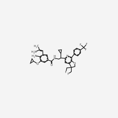 C/C(N)=C/c1cc(C(=O)NCC(c2cc3c(c(-c4ccc(C(F)(F)F)cc4)n2)OCC3(CF)CF)C2CC2)cc(OC2CC2)c1N